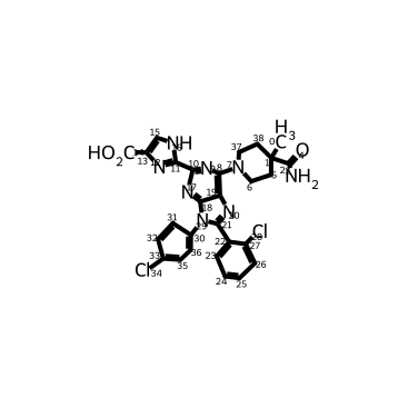 CC1(C(N)=O)CCN(c2nc(-c3nc(C(=O)O)c[nH]3)nc3c2nc(-c2ccccc2Cl)n3-c2ccc(Cl)cc2)CC1